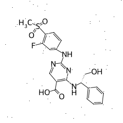 CS(=O)(=O)c1ccc(Nc2ncc(C(=O)O)c(N[C@H](CO)c3ccccc3)n2)cc1F